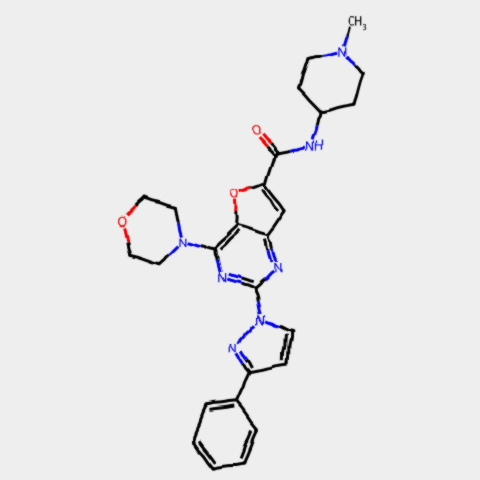 CN1CCC(NC(=O)c2cc3nc(-n4ccc(-c5ccccc5)n4)nc(N4CCOCC4)c3o2)CC1